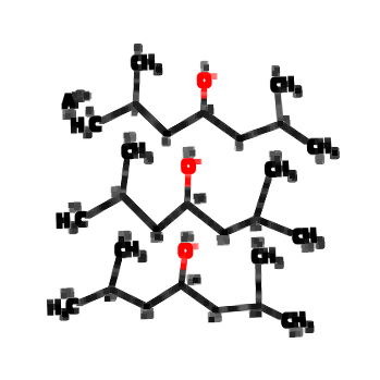 CC(C)CC([O-])CC(C)C.CC(C)CC([O-])CC(C)C.CC(C)CC([O-])CC(C)C.[Al+3]